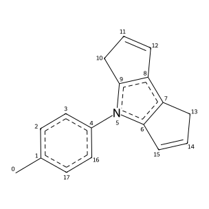 Cc1ccc(-n2c3c(c4c2CC=C4)CC=C3)cc1